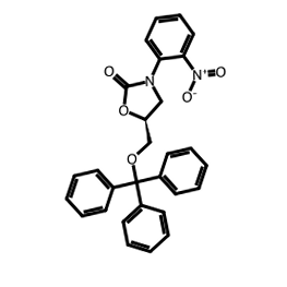 O=C1O[C@H](COC(c2ccccc2)(c2ccccc2)c2ccccc2)CN1c1ccccc1[N+](=O)[O-]